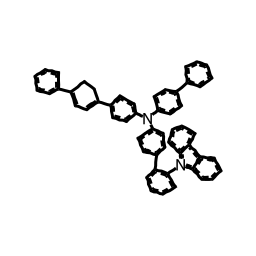 C1=C(c2ccccc2)CCC(c2ccc(N(c3ccc(-c4ccccc4)cc3)c3ccc(-c4ccccc4-n4c5ccccc5c5ccccc54)cc3)cc2)=C1